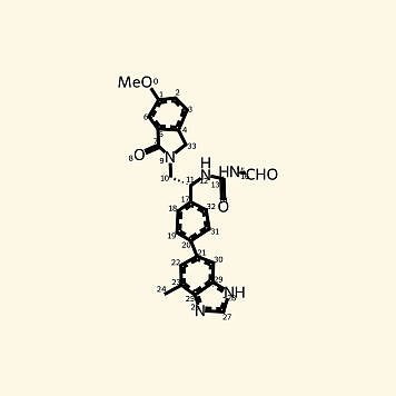 COc1ccc2c(c1)C(=O)N(C[C@H](NC(=O)NC=O)c1ccc(-c3cc(C)c4nc[nH]c4c3)cc1)C2